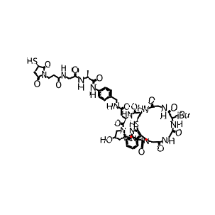 CCC(C)C1NC(=O)CNC(=O)C2Cc3c([nH]c4ccccc34)SCC(NC(=O)CNC1=O)C(=O)NC(CC(=O)NCc1ccc(NC(=O)[C@H](C)NC(=O)CNC(=O)CCN3C(=O)CC(S)C3=O)cc1)C(=O)N1CC(O)CC1CNC(=O)N2